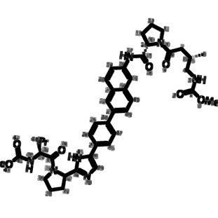 COC(=O)NC[C@@H](C)CC(=O)N1CCC[C@H]1C(=O)Nc1ccc2cc(-c3ccc(-c4cnc(C5CCCN5C(=O)[C@@H](NC(=O)OC)C(C)C)[nH]4)cc3)ccc2c1